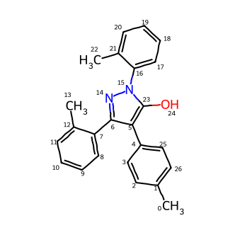 Cc1ccc(-c2c(-c3ccccc3C)nn(-c3ccccc3C)c2O)cc1